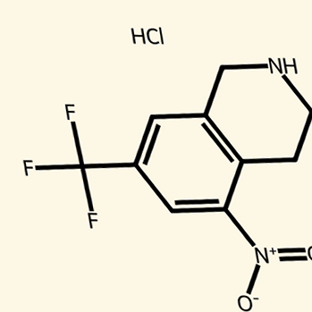 Cl.O=[N+]([O-])c1cc(C(F)(F)F)cc2c1CCNC2